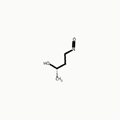 C[C@H](O)CCN=O